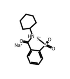 O=C(NC1CCCCC1)c1ccccc1S(=O)(=O)[S-].[Na+]